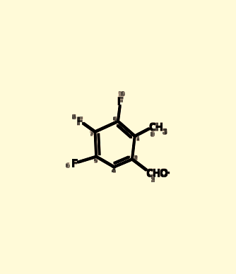 Cc1c([C]=O)cc(F)c(F)c1F